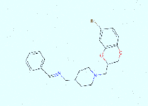 Brc1ccc2c(c1)OC(CN1CCC(C/N=C/c3ccccc3)CC1)CO2